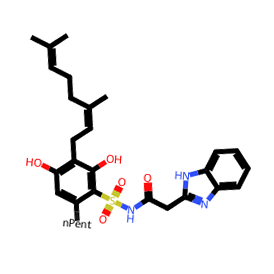 CCCCCc1cc(O)c(CC=C(C)CCC=C(C)C)c(O)c1S(=O)(=O)NC(=O)Cc1nc2ccccc2[nH]1